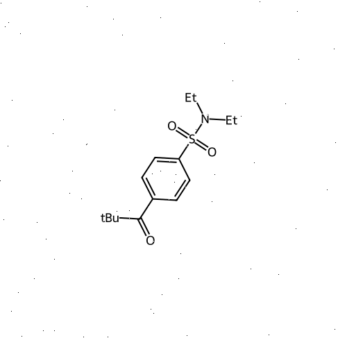 CCN(CC)S(=O)(=O)c1ccc(C(=O)C(C)(C)C)cc1